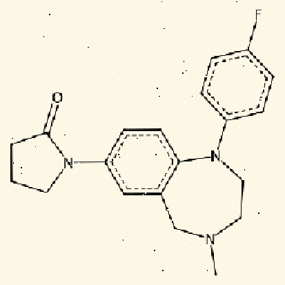 CN1CCN(c2ccc(F)cc2)c2ccc(N3CCCC3=O)cc2C1